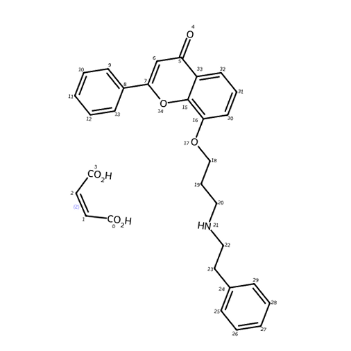 O=C(O)/C=C\C(=O)O.O=c1cc(-c2ccccc2)oc2c(OCCCNCCc3ccccc3)cccc12